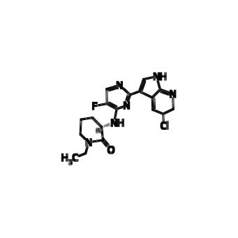 CCN1CCC[C@H](Nc2nc(-c3c[nH]c4c3=CC(Cl)CN=4)ncc2F)C1=O